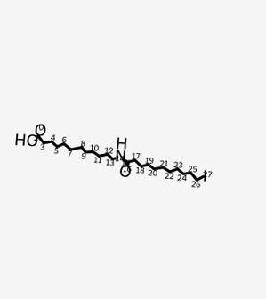 O=C(O)CCCCCCCCCCCNC(=O)CCCCCCCCCCI